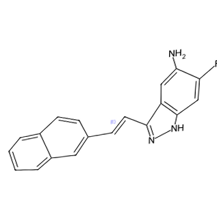 Nc1cc2c(/C=C/c3ccc4ccccc4c3)n[nH]c2cc1F